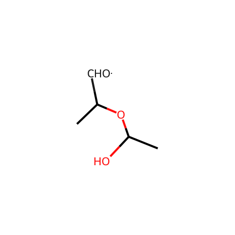 CC(O)OC(C)[C]=O